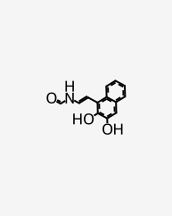 O=CNC=Cc1c(O)c(O)cc2ccccc12